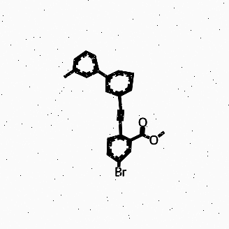 COC(=O)c1cc(Br)ccc1C#Cc1cccc(-c2cccc(C)c2)c1